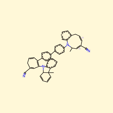 CC1/C=C(C#N)\C=C/Cc2ccccc2N1c1ccc(-c2ccc(C3=C(N4c5ccccc5C5(C)C=CC=CC45)C=C(C#N)CC=C3)cc2)cc1